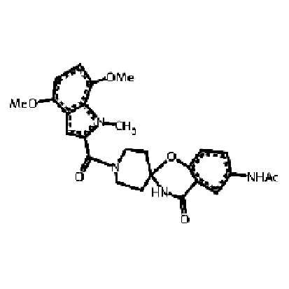 COc1ccc(OC)c2c1cc(C(=O)N1CCC3(CC1)NC(=O)c1cc(NC(C)=O)ccc1O3)n2C